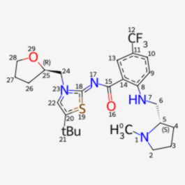 CN1CCC[C@H]1CNc1ccc(C(F)(F)F)cc1C(=O)N=c1sc(C(C)(C)C)cn1C[C@H]1CCCO1